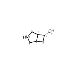 O[C@@H]1CC2CNCC21